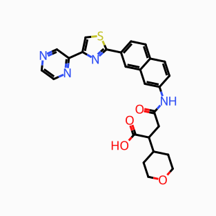 O=C(CC(C(=O)O)C1CCOCC1)Nc1ccc2ccc(-c3nc(-c4cnccn4)cs3)cc2c1